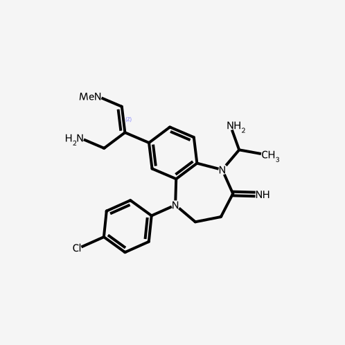 CN/C=C(\CN)c1ccc2c(c1)N(c1ccc(Cl)cc1)CCC(=N)N2C(C)N